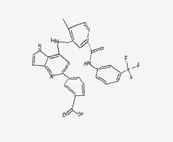 Cc1ccc(C(=O)Nc2cccc(C(F)(F)F)c2)cc1Nc1nc(-c2cccc(C(=O)O)c2)nc2cc[nH]c12